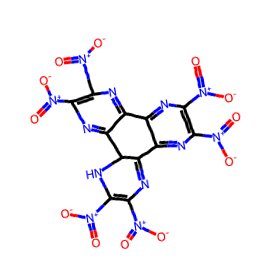 O=[N+]([O-])C1=C([N+](=O)[O-])NC2C(=N1)c1nc([N+](=O)[O-])c([N+](=O)[O-])nc1-c1nc([N+](=O)[O-])c([N+](=O)[O-])nc12